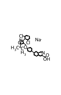 CC(C)c1onc(-c2c(Cl)cccc2Cl)c1COc1ccc(-c2ccc3cc(C(=O)O)ncc3c2)cc1.[Na]